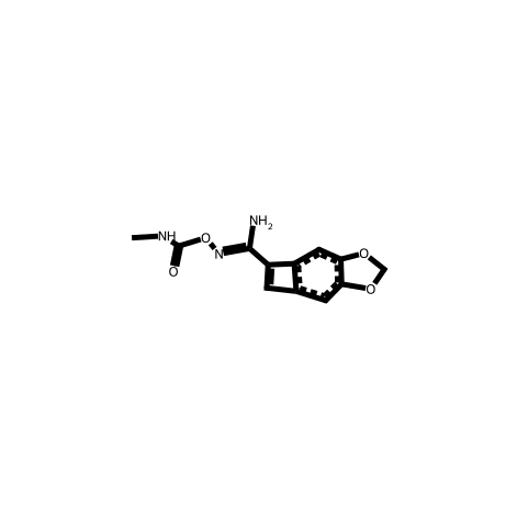 CNC(=O)ON=C(N)C1=Cc2cc3c(cc21)OCO3